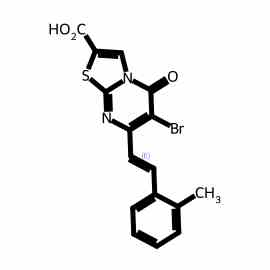 Cc1ccccc1/C=C/c1nc2sc(C(=O)O)cn2c(=O)c1Br